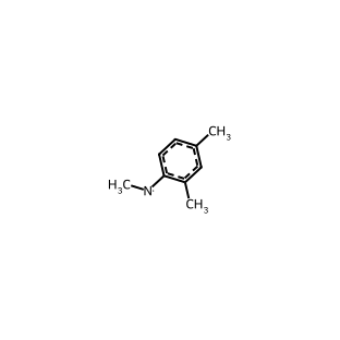 C[N]c1ccc(C)cc1C